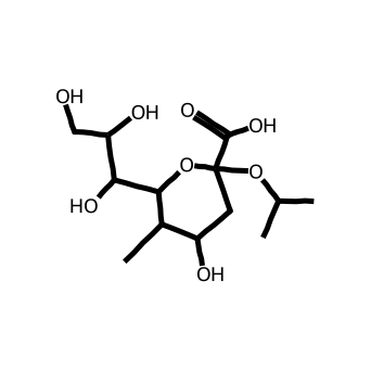 CC(C)OC1(C(=O)O)CC(O)C(C)C(C(O)C(O)CO)O1